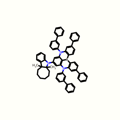 CC12CCCCCCC1(C)N(c1cc3c4c(c1)N(c1cccc(-c5ccccc5)c1)c1cc(-c5ccccc5)ccc1B4c1ccc(-c4ccccc4)cc1N3c1cccc(-c3ccccc3)c1)c1ccccc12